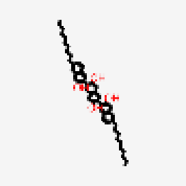 CCCCCCCCCCc1ccc2cc(-c3cc4cc(O)c(-c5cc6ccc(CCCCCCCCCC)cc6cc5O)cc4cc3O)c(O)cc2c1